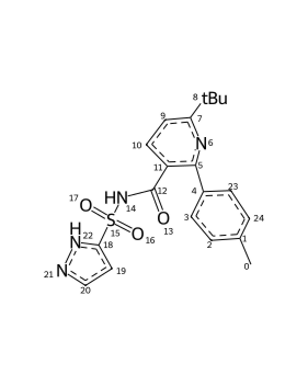 Cc1ccc(-c2nc(C(C)(C)C)ccc2C(=O)NS(=O)(=O)c2ccn[nH]2)cc1